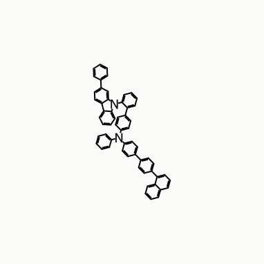 c1ccc(-c2ccc3c4ccccc4n(-c4ccccc4-c4ccc(N(c5ccccc5)c5ccc(-c6ccc(-c7cccc8ccccc78)cc6)cc5)cc4)c3c2)cc1